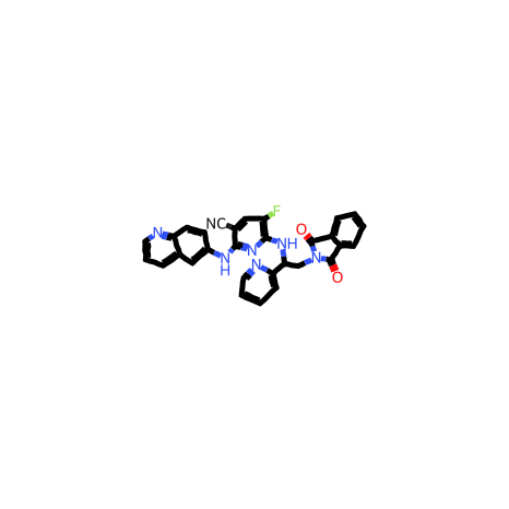 N#Cc1cc(F)c(NC(CN2C(=O)c3ccccc3C2=O)c2ccccn2)nc1Nc1ccc2ncccc2c1